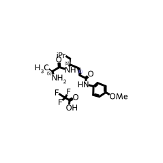 COc1ccc(NC(=O)/C=C/[C@H](CC(C)C)NC(=O)[C@H](C)N)cc1.O=C(O)C(F)(F)F